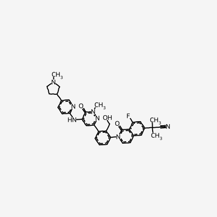 CN1CCC(c2ccc(Nc3cc(-c4cccc(-n5ccc6cc(C(C)(C)C#N)cc(F)c6c5=O)c4CO)nn(C)c3=O)nc2)C1